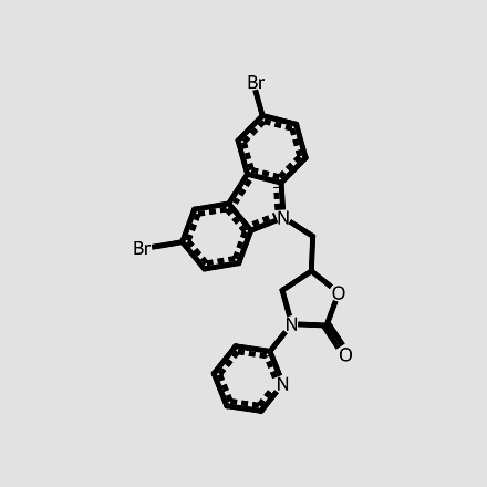 O=C1OC(Cn2c3ccc(Br)cc3c3cc(Br)ccc32)CN1c1ccccn1